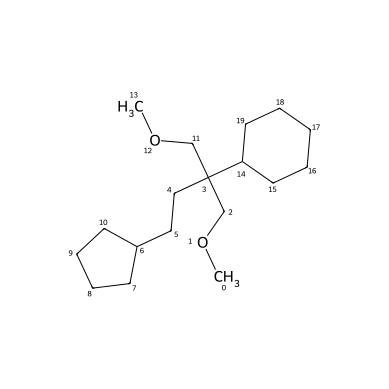 COCC(CCC1CCCC1)(COC)C1CCCCC1